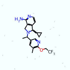 Cc1cc(C(C)N2Cc3c(ccnc3N)C2=C2CC2)cnc1OCC(F)(F)F